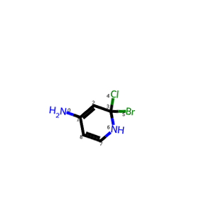 NC1=CC(Cl)(Br)NC=C1